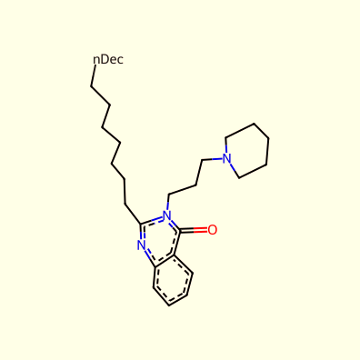 CCCCCCCCCCCCCCCCCc1nc2ccccc2c(=O)n1CCCN1CCCCC1